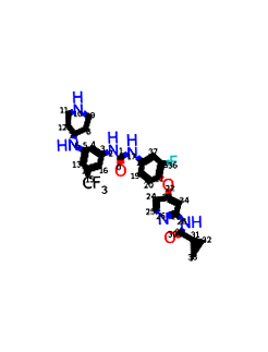 O=C(Nc1cc(NC2CCNCC2)cc(C(F)(F)F)c1)Nc1ccc(Oc2ccnc(NC(=O)C3CC3)c2)c(F)c1